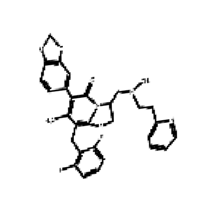 Cc1c(Cc2c(F)cccc2F)c2n(c(=O)c1-c1ccc3c(c1)OCO3)C(CN(C)CCc1ccccn1)CS2